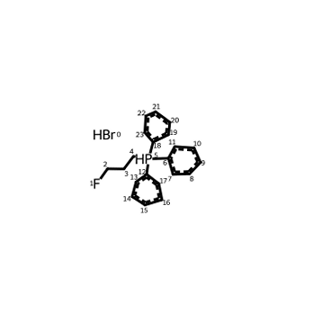 Br.FCCC[PH](c1ccccc1)(c1ccccc1)c1ccccc1